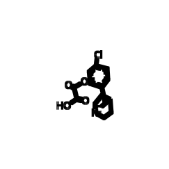 Clc1ccc(C2CN3CCC2CC3)cc1.O=C(O)C(=O)O